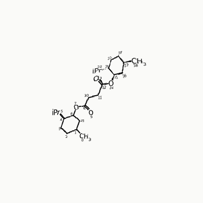 CC1CCC(C(C)C)C(OC(=O)CCC(=O)O[C@@H]2C[C@H](C)CC[C@H]2C(C)C)C1